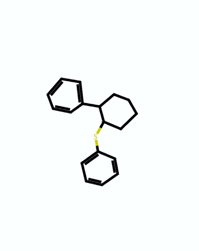 c1ccc(S[C]2CCCCC2c2ccccc2)cc1